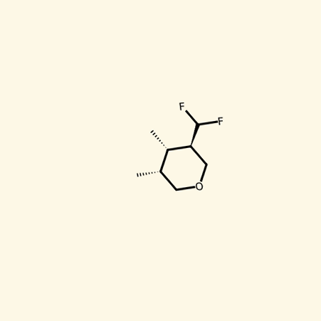 C[C@@H]1[C@@H](C(F)F)COC[C@@H]1C